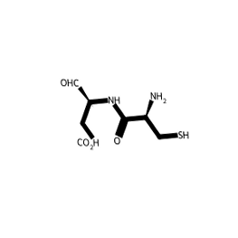 N[C@@H](CS)C(=O)N[C@H](C=O)CC(=O)O